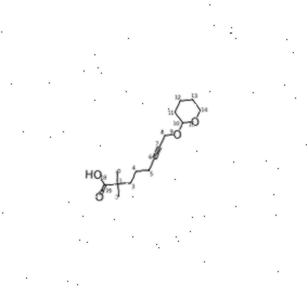 CC(C)(CCCC#CCOC1CCCCO1)C(=O)O